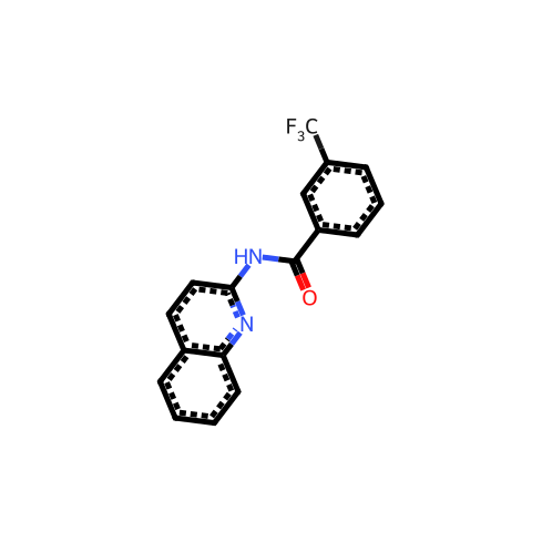 O=C(Nc1ccc2ccccc2n1)c1cccc(C(F)(F)F)c1